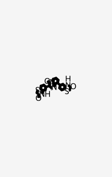 O=C1CSc2ccc(-c3[c]nc4c(-c5ccc6c(c5)NC(=O)CS6)cccn4c3=O)cc2N1